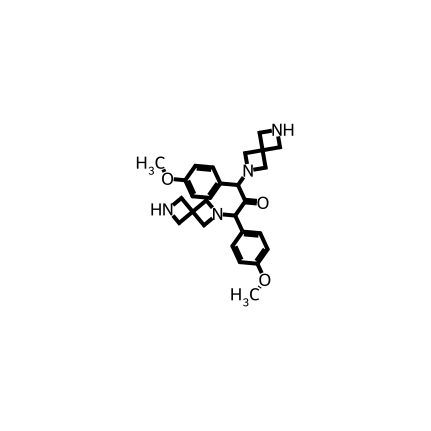 COc1ccc(C(C(=O)C(c2ccc(OC)cc2)N2CC3(CNC3)C2)N2CC3(CNC3)C2)cc1